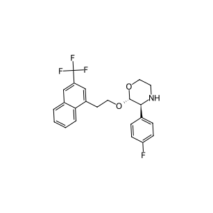 Fc1ccc([C@@H]2NCCO[C@H]2OCCc2cc(C(F)(F)F)cc3ccccc23)cc1